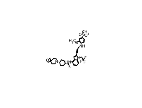 COc1cc(S(C)(=O)=O)ccc1NCC#Cc1cc2c(NC(=S)[C@H]3CC[C@@H](N4CCC5(CC4)COC5)CC3)cccc2n1CC(F)(F)F